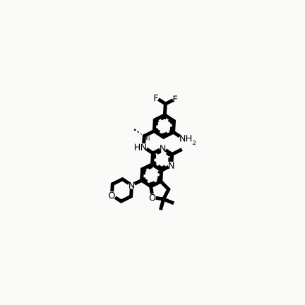 Cc1nc(N[C@H](C)c2cc(N)cc(C(F)F)c2)c2cc(N3CCOCC3)c3c(c2n1)CC(C)(C)O3